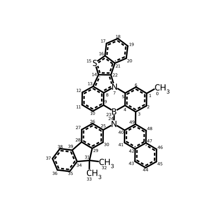 Cc1cc2c3c(c1)-n1c4c(cccc4c4sc5ccccc5c41)B3N(c1ccc3c(c1)C(C)(C)c1ccccc1-3)c1cc3ccccc3cc1-2